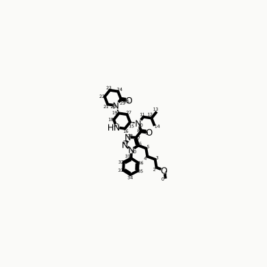 COCCCCc1c(C(=O)N(CC(C)C)[C@@H]2CNC[C@H](N3CCCCC3=O)C2)nnn1-c1ccccc1